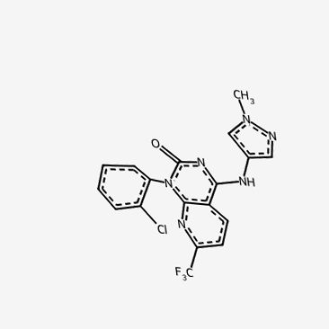 Cn1cc(Nc2nc(=O)n(-c3ccccc3Cl)c3nc(C(F)(F)F)ccc23)cn1